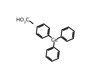 CC(=O)O.c1cc[c]([Ge]([c]2ccccc2)[c]2ccccc2)cc1